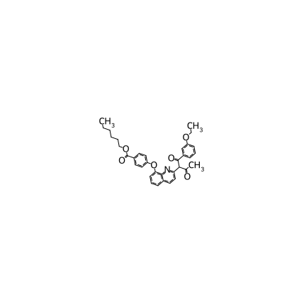 CCCCCCOC(=O)c1ccc(Oc2cccc3ccc(C(C(C)=O)C(=O)c4cccc(OCC)c4)nc23)cc1